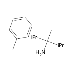 CC(C)C(C)(N)C(C)C.Cc1ccccc1